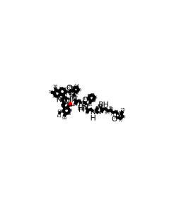 BN(CC(=C)NCC(=C)N[C@@H](Cc1ccccc1)C(=O)NCC(=C)NCOC1(C(=O)N[C@H]2CCc3c(C)c(C)cc4nc5c(c2c34)CN(C)/C5=C\C2=C(C=C)CCC(=C)[C@@H]2CC)CCCC1)C(=C)CCCCCN1C(=C)CCC1=O